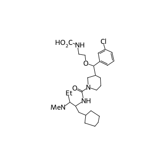 CCC(NC)C(CC1CCCCC1)NC(=O)N1CCCC(C(OCCNC(=O)O)c2cccc(Cl)c2)C1